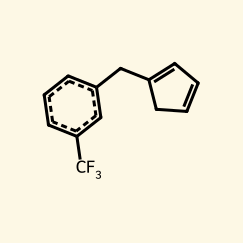 FC(F)(F)c1cccc(CC2=CC=CC2)c1